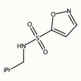 CC(C)CNS(=O)(=O)c1ccno1